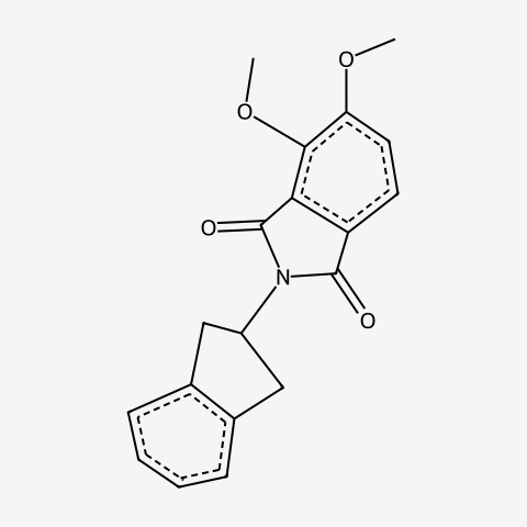 COc1ccc2c(c1OC)C(=O)N(C1Cc3ccccc3C1)C2=O